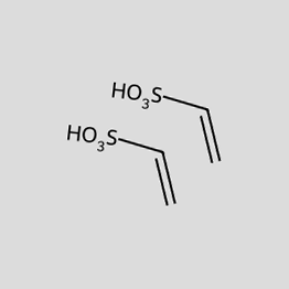 C=CS(=O)(=O)O.C=CS(=O)(=O)O